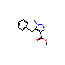 COC(=O)c1nnn(C)c1Cc1ccccc1